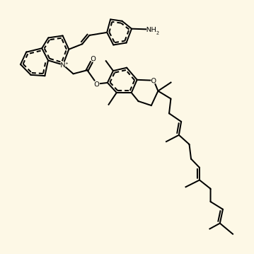 CC(C)=CCC/C(C)=C/CC/C(C)=C/CCC1(C)CCc2c(cc(C)c(OC(=O)C[n+]3c(/C=C/c4ccc(N)cc4)ccc4ccccc43)c2C)O1